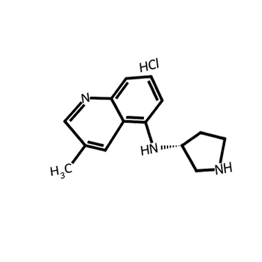 Cc1cnc2cccc(N[C@@H]3CCNC3)c2c1.Cl